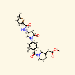 COC(=O)CC1CCCN(C(=O)c2ccc(N3CC(NC(=O)c4ccc(C)s4)CC3=O)cc2C)C1